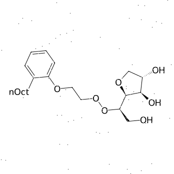 CCCCCCCCc1ccccc1OCCOO[C@H](CO)[C@H]1OC[C@H](O)[C@H]1O